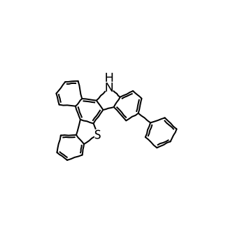 c1ccc(-c2ccc3[nH]c4c5ccccc5c5c6ccccc6sc5c4c3c2)cc1